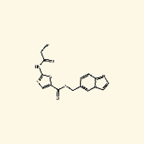 CC(C)CC(=O)Nc1ncc(C(=O)NCc2ccc3nccn3c2)s1